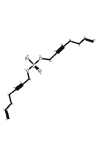 C=CCCC#CCOP(=O)(CC)OCC#CCCC=C